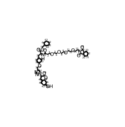 O=C(CCOCCOCCOCCOCCN1C(=O)c2ccccc2C1=O)NC(Cc1ccc(OCc2cn(-c3cc4ccc(O)cc4oc3=O)nn2)cc1)C(=O)OCc1ccccc1